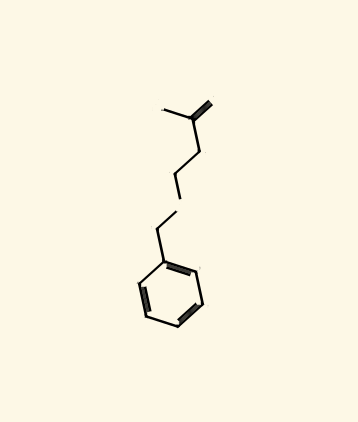 O=C(Cl)CCSCc1ccccc1